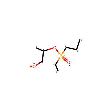 CCCP(=O)(CC)OC(C)CO